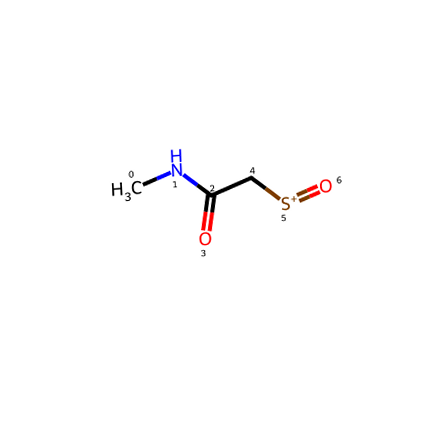 CNC(=O)C[S+]=O